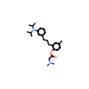 Cc1ccc(OC(=O)CN(C)C)c(CCCc2cccc(N(C(C)C)C(C)C)c2)c1